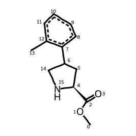 COC(=O)[C@@H]1CC(c2ccccc2C)CN1